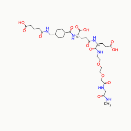 CNC(=O)CNC(=O)COCCOCCNC(=O)[C@H](CCC(=O)O)NC(=O)CC[C@H](NC(=O)[C@H]1CC[C@H](CNC(=O)CCCC(=O)O)CC1)C(=O)O